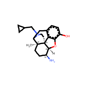 C[C@@]12CC[C@H](N)[C@@H]3Oc4c(O)ccc5c4[C@@]31CCN(CC1CC1)C2C5